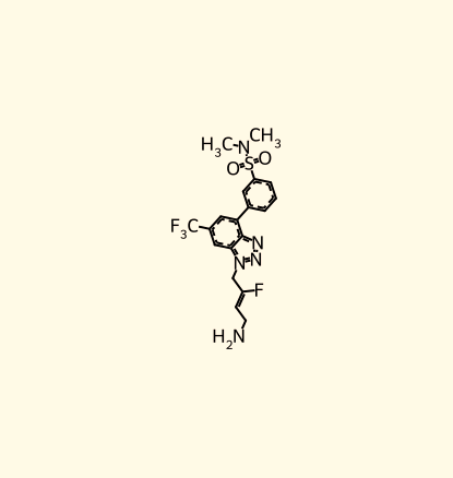 CN(C)S(=O)(=O)c1cccc(-c2cc(C(F)(F)F)cc3c2nnn3C/C(F)=C/CN)c1